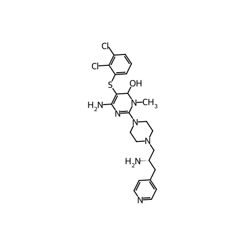 CN1C(N2CCN(C[C@@H](N)Cc3ccncc3)CC2)=NC(N)=C(Sc2cccc(Cl)c2Cl)C1O